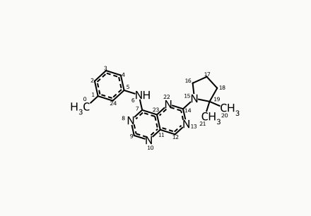 Cc1cccc(Nc2ncnc3cnc(N4CCCC4(C)C)nc23)c1